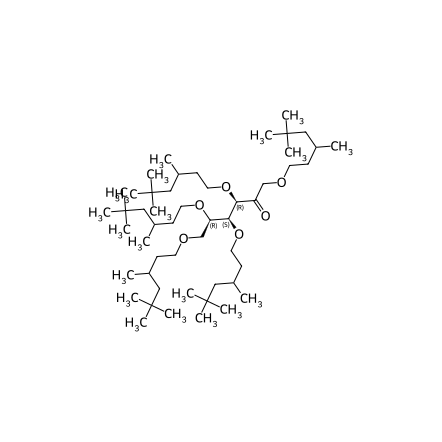 CC(CCOCC(=O)[C@H](OCCC(C)CC(C)(C)C)[C@@H](OCCC(C)CC(C)(C)C)[C@@H](COCCC(C)CC(C)(C)C)OCCC(C)CC(C)(C)C)CC(C)(C)C